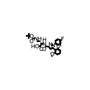 COc1cccc(OC)c1-c1cc(C(=O)N[C@@H](CCNC(=O)OC(C)(C)C)C(=O)O)nn1-c1ccc(F)cc1